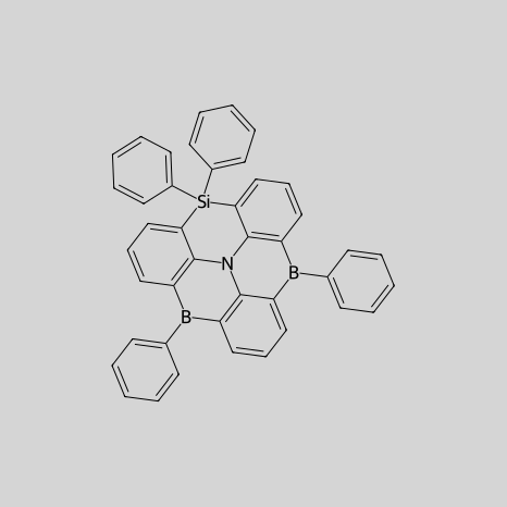 c1ccc(B2c3cccc4c3N3c5c2cccc5[Si](c2ccccc2)(c2ccccc2)c2cccc(c23)B4c2ccccc2)cc1